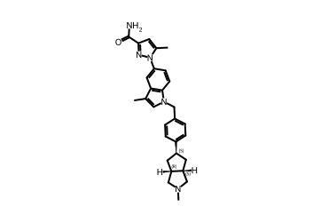 Cc1cn(Cc2ccc([C@H]3C[C@@H]4CN(C)C[C@@H]4C3)cc2)c2ccc(-n3nc(C(N)=O)cc3C)cc12